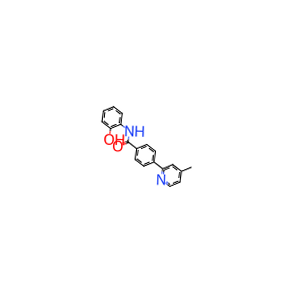 Cc1ccnc(-c2ccc(C(=O)Nc3ccccc3O)cc2)c1